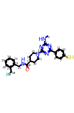 CNc1nc(-c2ccc(S)cc2)nc(N2CCC(C(=O)NCc3ccccc3CF)CC2)n1